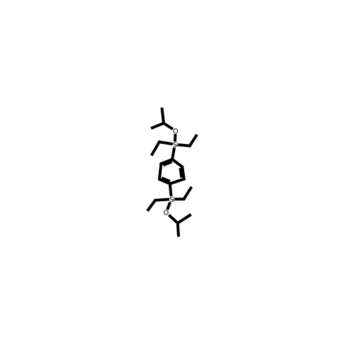 CC[Si](CC)(OC(C)C)c1ccc([Si](CC)(CC)OC(C)C)cc1